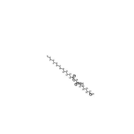 CCCCCCCCCCCCCCCC(=O)OCC(=O)NCCCCCCOC